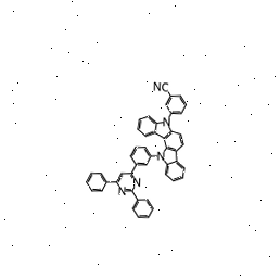 N#Cc1cccc(-n2c3ccccc3c3c2ccc2c4ccccc4n(-c4cccc(-c5cc(-c6ccccc6)nc(-c6ccccc6)n5)c4)c23)c1